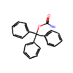 [NH]C(=O)OC(c1ccccc1)(c1ccccc1)c1ccccc1